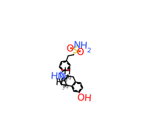 CN1CC[C@]2(C)c3cc(O)ccc3C[C@@H]1[C@H]2Nc1ccc(CCS(N)(=O)=O)cc1